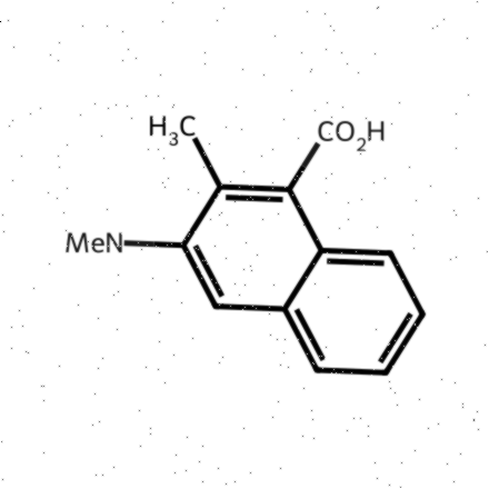 CNc1cc2ccccc2c(C(=O)O)c1C